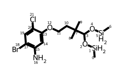 C[SiH2]OC(O[SiH2]C)C(C)(C)CCOc1cc(N)c(Br)cc1Cl